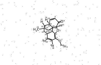 [2H]COC1=C2O[C@H]3C(=O)C=C[C@H]4[C@H]5CC(C([2H])=C1[2H])C2[C@@]34CCN5C